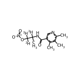 [2H]C(C)(NC(=O)c1cnc(C)c(C)c1C)C([2H])([2H])O[N+](=O)[O-]